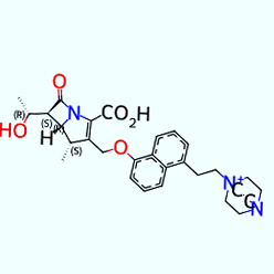 C[C@@H](O)[C@H]1C(=O)N2C(C(=O)O)=C(COc3cccc4c(CC[N+]56CCN(CC5)CC6)cccc34)[C@H](C)[C@H]12